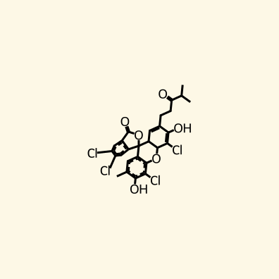 Cc1cc2c(c(Cl)c1O)OC1C(Cl)=C(O)C(CCC(=O)C(C)C)=CC1C21OC(=O)c2cc(Cl)c(Cl)cc21